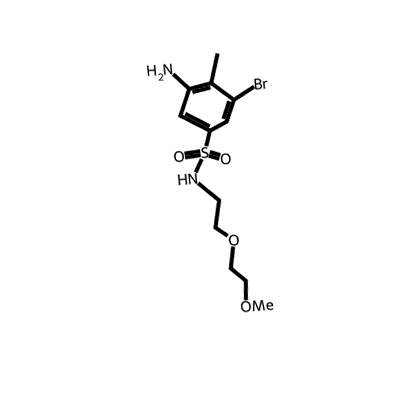 COCCOCCNS(=O)(=O)c1cc(N)c(C)c(Br)c1